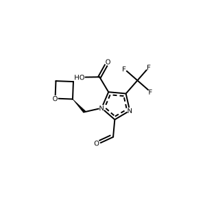 O=Cc1nc(C(F)(F)F)c(C(=O)O)n1C[C@@H]1CCO1